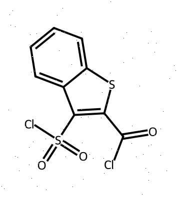 O=C(Cl)c1sc2ccccc2c1S(=O)(=O)Cl